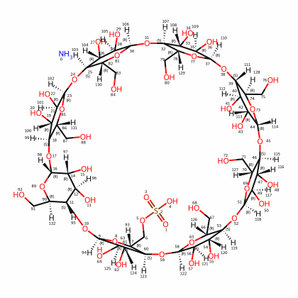 N.O=S(=O)(O)OC[C@H]1O[C@@H]2O[C@H]3[C@H](O)[C@@H](O)[C@@H](O[C@H]4[C@H](O)[C@@H](O)[C@@H](O[C@H]5[C@H](O)[C@@H](O)[C@@H](O[C@H]6[C@H](O)[C@@H](O)[C@@H](O[C@H]7[C@H](O)[C@@H](O)[C@@H](O[C@H]8[C@H](O)[C@@H](O)[C@@H](O[C@H]9[C@H](O)[C@@H](O)[C@@H](O[C@H]1[C@H](O)[C@H]2O)O[C@@H]9CO)O[C@@H]8CO)O[C@@H]7CO)O[C@@H]6CO)O[C@@H]5CO)O[C@@H]4CO)O[C@@H]3CO